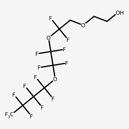 OCCOCC(F)(F)OC(F)(F)C(F)(F)OC(F)(F)C(F)(F)C(F)(F)C(F)(F)F